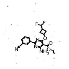 CCOC(=O)c1c(N)nc(-c2cccc(C#N)c2)nc1OC1CC(C(F)F)C1